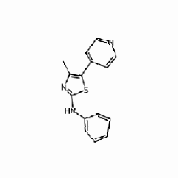 Cc1nc(Nc2ccccc2)sc1-c1ccncc1